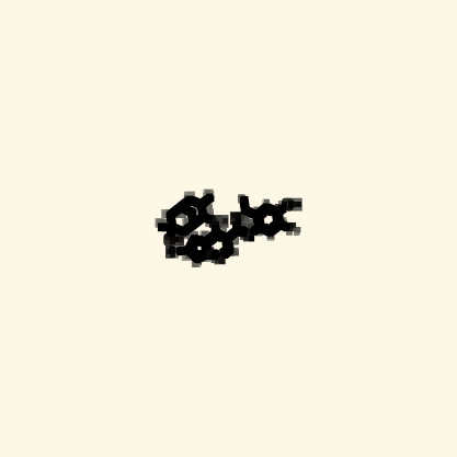 CCc1cc(O)c(F)cc1/N=C(\N)c1cnn2cc(Br)cc2c1NC1C(C)CC2CC1CC(C)(O)C2